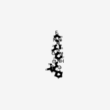 Cc1cc(-c2ccccc2)c(C(=O)C(=O)Nc2cnc3c(c2)OCC2CN(c4ncc(F)cn4)CCN32)n1C